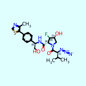 Cc1ncsc1-c1ccc([C@H](CO)NC(=O)[C@@H]2[C@@H](F)[C@@H](O)CN2C(=O)[C@@H](N=[N+]=[N-])C(C)C)cc1